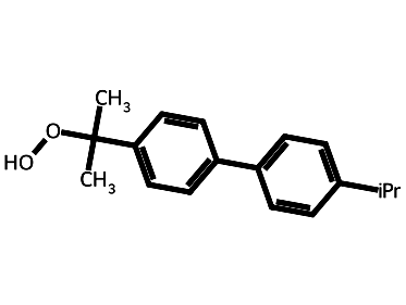 CC(C)c1ccc(-c2ccc(C(C)(C)OO)cc2)cc1